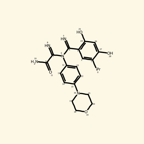 CC(C)c1cc(C(=N)N(C(=N)C(N)=O)c2ccc(N3CCOCC3)cc2)c(O)cc1O